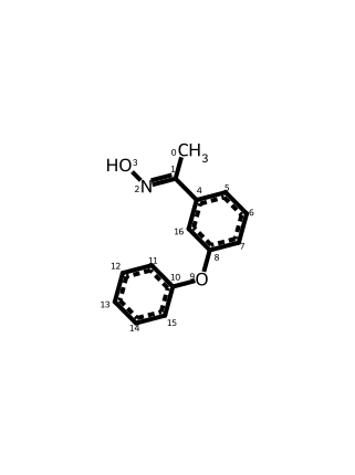 CC(=NO)c1cccc(Oc2ccccc2)c1